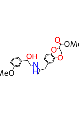 COC(=O)C1COc2cc(CC(C)NCC(O)c3cccc(OC)c3)ccc2O1